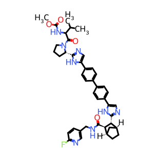 COC(=O)NC(C(=O)N1CCC[C@H]1c1ncc(-c2ccc(-c3ccc(-c4cnc([C@@H]5[C@H]6CC[C@H](C6)[C@H]5C(=O)NCc5ccc(F)nc5)[nH]4)cc3)cc2)[nH]1)C(C)C